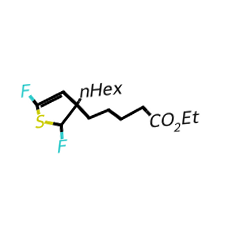 CCCCCCC1(CCCCC(=O)OCC)C=C(F)SC1F